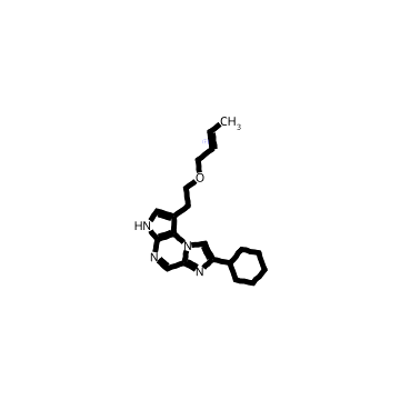 C/C=C/COCCc1c[nH]c2ncc3nc(C4CCCCC4)cn3c12